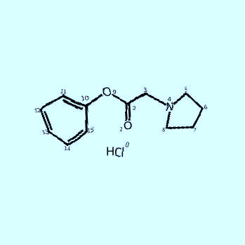 Cl.O=C(CN1CCCC1)Oc1ccccc1